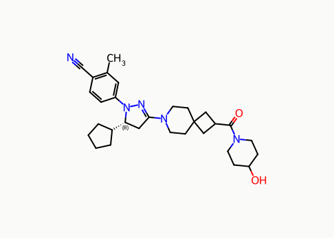 Cc1cc(N2N=C(N3CCC4(CC3)CC(C(=O)N3CCC(O)CC3)C4)C[C@@H]2C2CCCC2)ccc1C#N